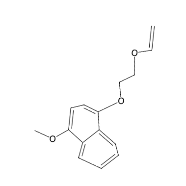 C=COCCOc1ccc(OC)c2ccccc12